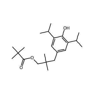 CC(C)c1cc(CC(C)(C)COC(=O)C(C)(C)C)cc(C(C)C)c1O